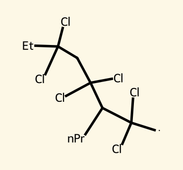 [CH2]C(Cl)(Cl)C(CCC)C(Cl)(Cl)CC(Cl)(Cl)CC